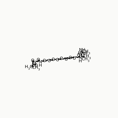 CC(NC(=O)C(NC(=O)CCOCCOCCOCCOCCOCCOCCOCCOCCNC(=O)CCN1C(=O)CC(C(C)C)C1=O)C(C)C)C(N)=O